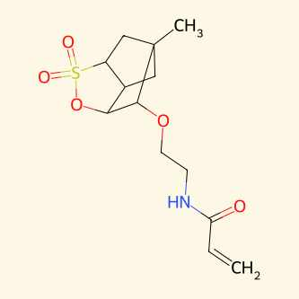 C=CC(=O)NCCOC1C2OS(=O)(=O)C3CC1(C)CC23